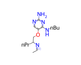 C/C=N\C(CCC)COc1cnc(N)nc1NCCCC